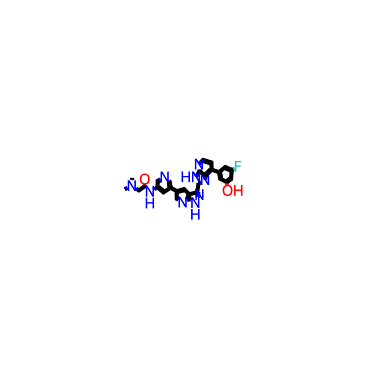 CN(C)CC(=O)Nc1cncc(-c2cnc3[nH]nc(-c4nc5c(-c6cc(O)cc(F)c6)ccnc5[nH]4)c3c2)c1